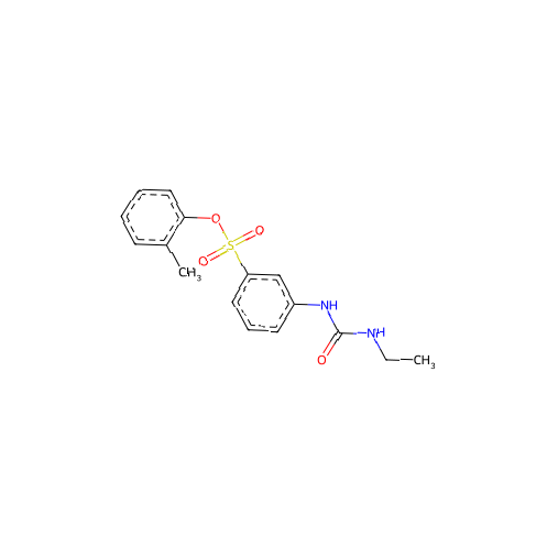 CCNC(=O)Nc1cccc(S(=O)(=O)Oc2ccccc2C)c1